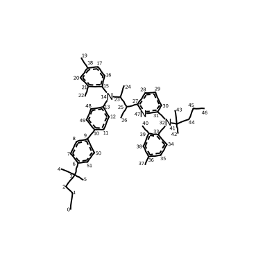 CCCC(C)(C)c1ccc(-c2ccc(N(c3ccc(C)cc3C)C(C)C(C)c3cccc(N(c4ccc(C)cc4C)C(C)(C)CCC)n3)cc2)cc1